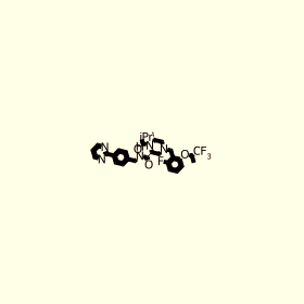 CC(C)C(=O)N1[C@H](C)CN(Cc2c(F)cccc2OC(C)C(F)(F)F)C[C@@H]1C(=O)NCc1ccc(-c2ncccn2)cc1